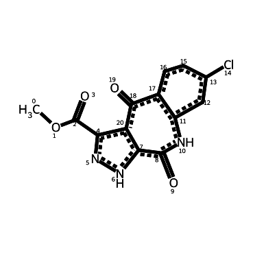 COC(=O)c1n[nH]c2c(=O)[nH]c3cc(Cl)ccc3c(=O)c12